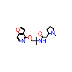 CN1CCCC1CC(=O)NC(C)(C)COc1nccc2occc12